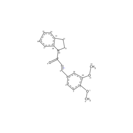 COc1ccc(/C=C/C(=O)N2CCc3ccccc32)cc1OC